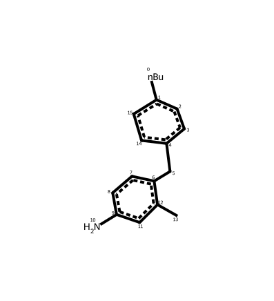 CCCCc1ccc(Cc2ccc(N)cc2C)cc1